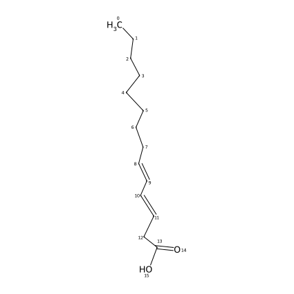 CCCCCCCCC=CC=CCC(=O)O